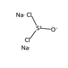 [Na].[Na].[O-][S+](Cl)Cl